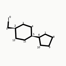 IC[C@H]1CC[C@@H](C2CCCC2)CC1